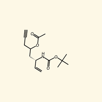 C#CCC(C[C@@H](C=C)NC(=O)OC(C)(C)C)OC(C)=O